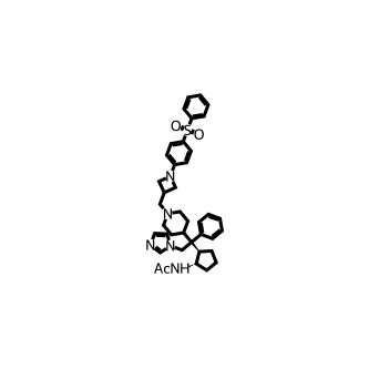 CC(=O)N[C@H]1CCC[C@@H]1C(Cn1ccnc1)(c1ccccc1)C1CCN(CC2CN(c3ccc(S(=O)(=O)c4ccccc4)cc3)C2)CC1